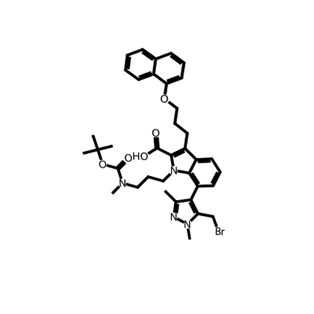 Cc1nn(C)c(CBr)c1-c1cccc2c(CCCOc3cccc4ccccc34)c(C(=O)O)n(CCCN(C)C(=O)OC(C)(C)C)c12